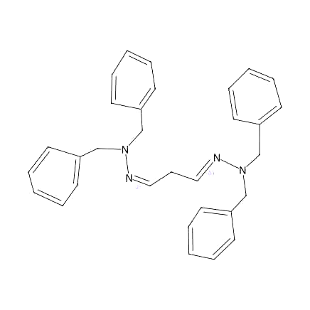 C(/C/C=N/N(Cc1ccccc1)Cc1ccccc1)=N/N(Cc1ccccc1)Cc1ccccc1